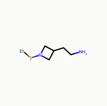 CCSN1CC(CCN)C1